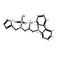 CCCS(=O)(=O)N(Cc1ccco1)CC(O)Cn1c2ccccc2c2ccccc21